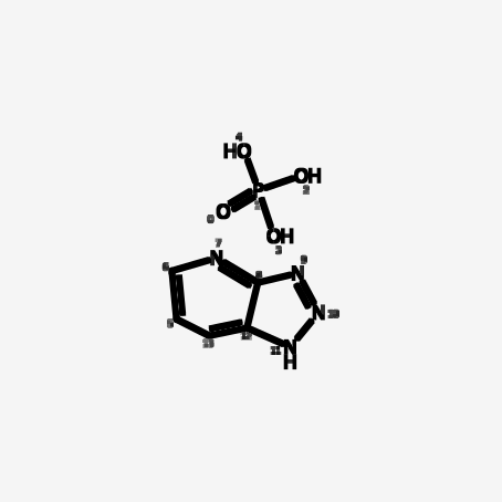 O=P(O)(O)O.c1cnc2nn[nH]c2c1